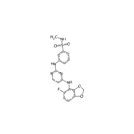 CNS(=O)(=O)c1cccc(Nc2nccc(Nc3c(F)ccc4c3OCO4)n2)c1